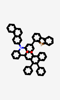 c1ccc(-c2c(-c3ccccc3)c3cc(-c4ccccc4N(c4cccc(-c5cccc6c5sc5ccccc56)c4)c4ccc5c(ccc6ccccc65)c4)ccc3c3ccccc23)cc1